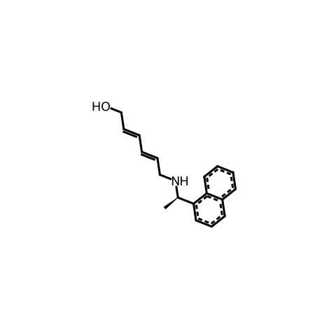 C[C@@H](NC/C=C/C=C/CO)c1cccc2ccccc12